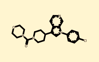 O=C(N1CCOCC1)N1CCC(c2cn(-c3ccc(Cl)cc3)c3cnccc23)CC1